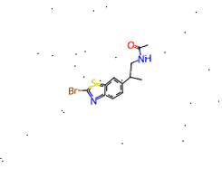 CC(=O)NCC(C)c1ccc2nc(Br)sc2c1